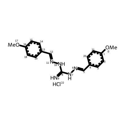 COc1ccc(C=NNC(=N)NN=Cc2ccc(OC)cc2)cc1.Cl